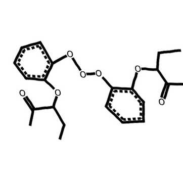 CCC(Oc1ccccc1OOOc1ccccc1OC(CC)C(C)=O)C(C)=O